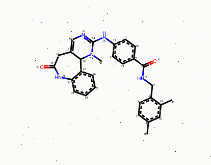 Cc1ccc(CNC(=O)c2ccc(NC3=NC=C4CC(=O)Nc5ccccc5C4N3C)cc2)c(C)c1